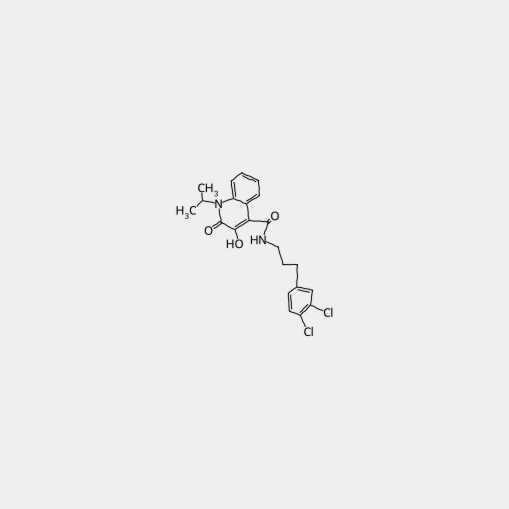 CC(C)n1c(=O)c(O)c(C(=O)NCCCc2ccc(Cl)c(Cl)c2)c2ccccc21